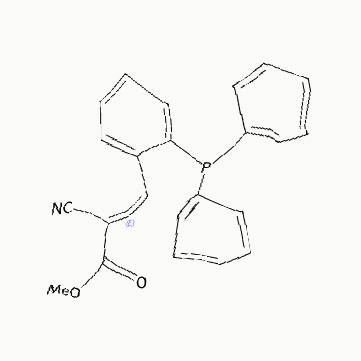 COC(=O)/C(C#N)=C/c1ccccc1P(c1ccccc1)c1ccccc1